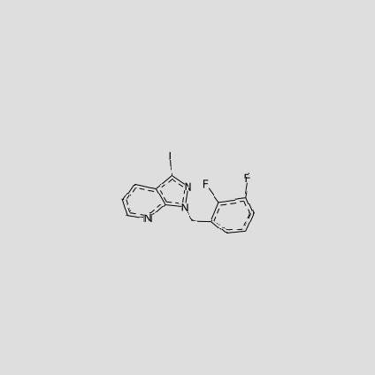 Fc1cccc(Cn2nc(I)c3cccnc32)c1F